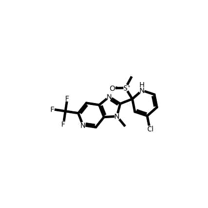 Cn1c(C2([S+](C)[O-])C=C(Cl)C=CN2)nc2cc(C(F)(F)F)ncc21